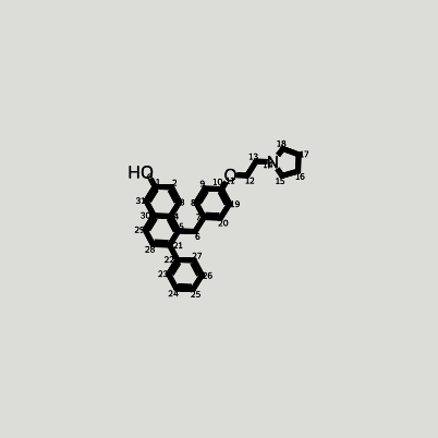 Oc1ccc2c(Cc3ccc(OCCN4CCCC4)cc3)c(-c3ccccc3)ccc2c1